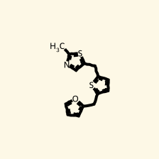 Cc1ncc(Cc2ccc(Cc3ccco3)s2)s1